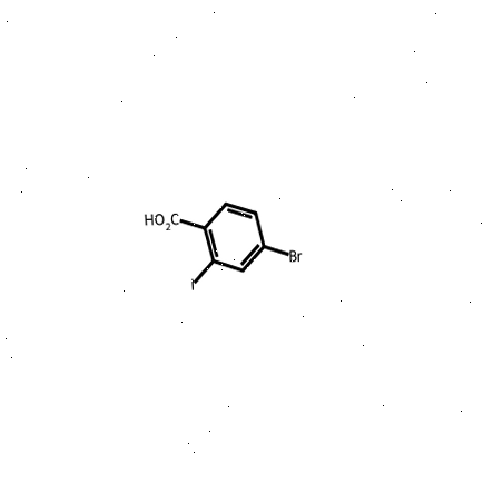 O=C(O)c1ccc(Br)cc1I